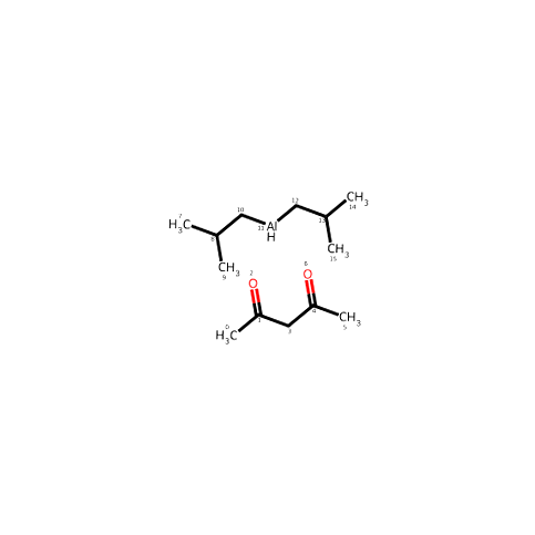 CC(=O)CC(C)=O.CC(C)[CH2][AlH][CH2]C(C)C